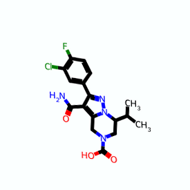 CC(C)C1CN(C(=O)O)Cc2c(C(N)=O)c(-c3ccc(F)c(Cl)c3)nn21